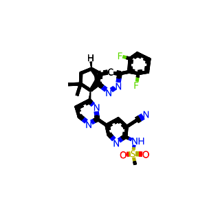 CC1(C)C[C@H]2CC[C@]1(c1ccnc(-c3cnc(NS(C)(=O)=O)c(C#N)c3)n1)c1nnc(-c3c(F)cccc3F)cc12